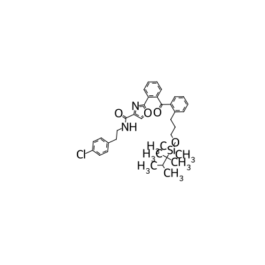 CC(C)C(C)(C)[Si](C)(C)OCCCc1ccccc1C(=O)c1ccccc1-c1nc(C(=O)NCCc2ccc(Cl)cc2)co1